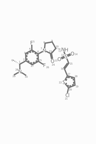 C[C@H](c1cc(F)c(N2CC[C@H](NS(=O)(=O)C=Cc3ccc(Cl)s3)C2=O)c(F)c1)N(C)C